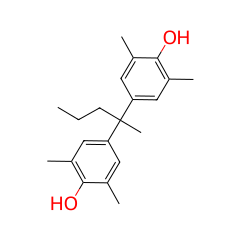 CCCC(C)(c1cc(C)c(O)c(C)c1)c1cc(C)c(O)c(C)c1